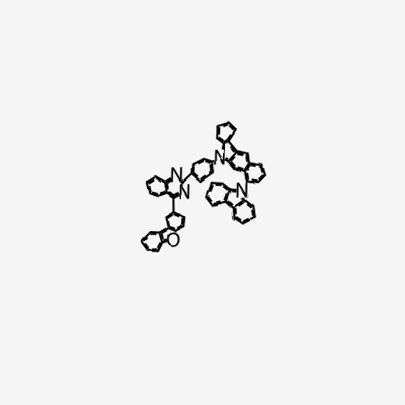 c1cc(-n2c3ccccc3c3ccccc32)c2cc3c(cc2c1)c1ccccc1n3-c1ccc(-c2nc(-c3ccc4oc5ccccc5c4c3)c3ccccc3n2)cc1